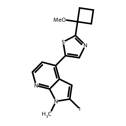 COC1(c2ncc(-c3ccnc4c3cc(I)n4C)s2)CCC1